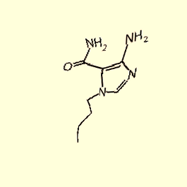 CCCCn1cnc(N)c1C(N)=O